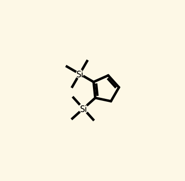 C[Si](C)(C)C1=C([Si](C)(C)C)CC=C1